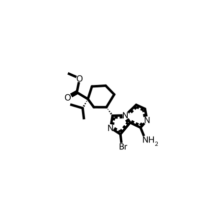 COC(=O)[C@@]1(C(C)C)CCC[C@H](c2nc(Br)c3c(N)nccn23)C1